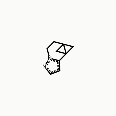 c1cc2n(n1)CCC13CC21C3